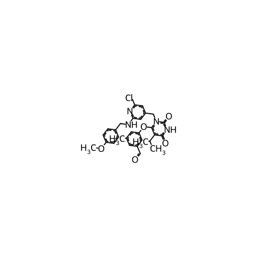 COc1ccc(CNc2cc(Cn3c(Oc4cc(C)cc(C=O)c4)c(C(C)C)c(=O)[nH]c3=O)cc(Cl)n2)cc1